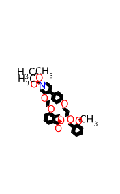 COc1ccccc1COCCCOc1ccc(C2CCN(C(=O)OC(C)(C)C)CC2OCCOc2cccc3c2COC3=O)cc1